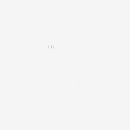 Cl.NOCC(=O)O